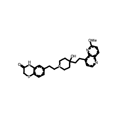 COc1ccc2nccc(CCC3(O)CCN(CCc4ccc5c(c4)NC(=O)CS5)CC3)c2n1